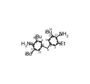 CCc1cc(Cc2cc(C(C)CC)c(N)c(C(C)CC)c2)cc(C(C)CC)c1N